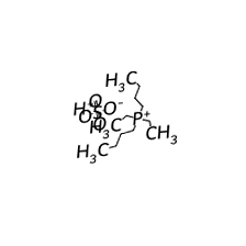 CCCC[P+](CC)(CC)CCCC.O=S(=O)([O-])[O-].[H+]